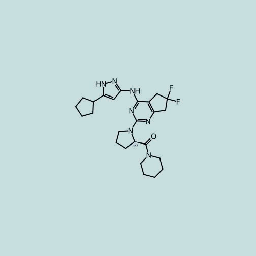 O=C([C@H]1CCCN1c1nc2c(c(Nc3cc(C4CCCC4)[nH]n3)n1)CC(F)(F)C2)N1CCCCC1